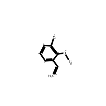 C=[C]c1cccc(Cl)c1OCC